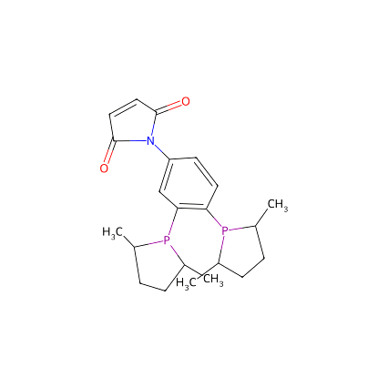 CC1CCC(C)P1c1ccc(N2C(=O)C=CC2=O)cc1P1C(C)CCC1C